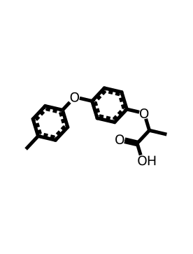 Cc1ccc(Oc2ccc(OC(C)C(=O)O)cc2)cc1